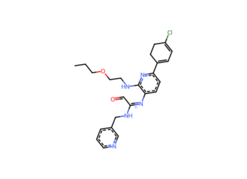 CCCOCCNc1nc(C2=CC=C(Cl)CC2)ccc1/N=C(\C=O)NCc1cccnc1